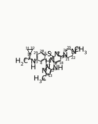 C=C(Nc1ccc(Sc2nc(Nc3cc(C)n[nH]3)cc(N3CCN(C)CC3)n2)cc1)C1CC1